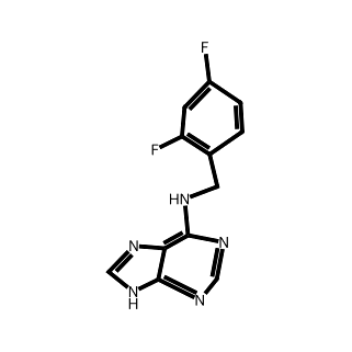 Fc1ccc(CNc2ncnc3[nH]cnc23)c(F)c1